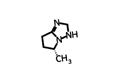 C[C@@H]1CCC2=NCNN21